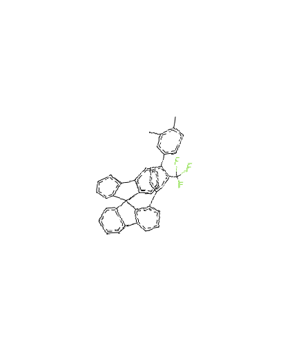 Cc1ccc(-c2ccc(-c3cccc4c3C3(c5ccccc5-c5ccccc53)c3ccccc3-4)cc2C(F)(F)F)cc1C